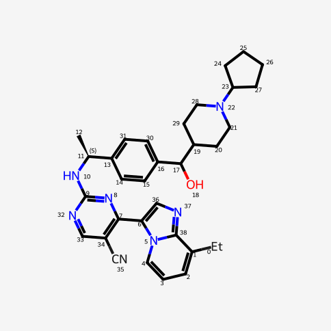 CCc1cccn2c(-c3nc(N[C@@H](C)c4ccc(C(O)C5CCN(C6CCCC6)CC5)cc4)ncc3C#N)cnc12